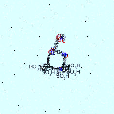 CC1(C)C2=C(CCCCCC(=O)NC(C(=O)CCCCCCC(=O)ON3C(=O)CCC3=O)CCCCNC(=O)CCCCCC3(C)/C(=C/C=C/C=C/2)N(CCCS(=O)(=O)O)c2ccc4c(S(=O)(=O)O)cc(S(=O)(=O)O)cc4c23)c2ccc3c(S(=O)(=O)O)cc(S(=O)(=O)O)cc3c21